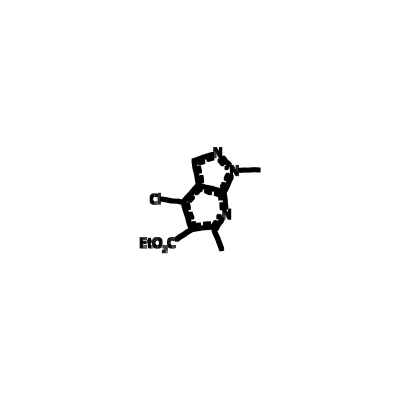 CCOC(=O)c1c(C)nc2c(cnn2C)c1Cl